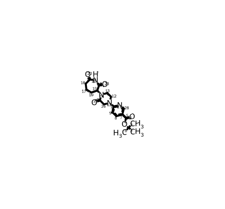 CC(C)(C)OC(=O)c1ccc(N2CCN(C3CCCC(=O)NC3=O)C(=O)C2)nc1